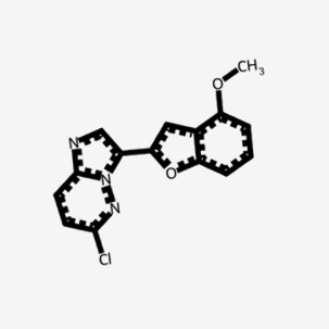 COc1cccc2oc(-c3cnc4ccc(Cl)nn34)cc12